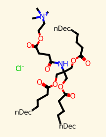 CCCCCCCCCCCCCC(=O)OCC(COC(=O)CCCCCCCCCCCCC)(COC(=O)CCCCCCCCCCCCC)NC(=O)CCC(=O)OCC[N+](C)(C)C.[Cl-]